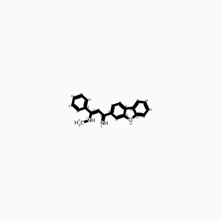 CN/C(=C\C(=N)c1ccc2c(c1)oc1ccccc12)c1ccccc1